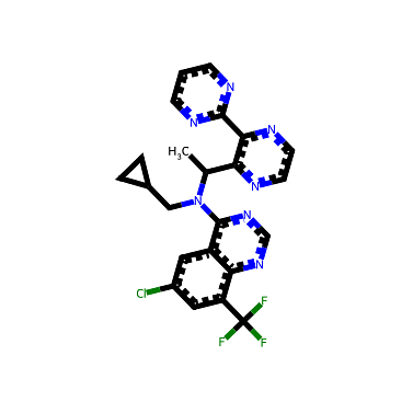 CC(c1nccnc1-c1ncccn1)N(CC1CC1)c1ncnc2c(C(F)(F)F)cc(Cl)cc12